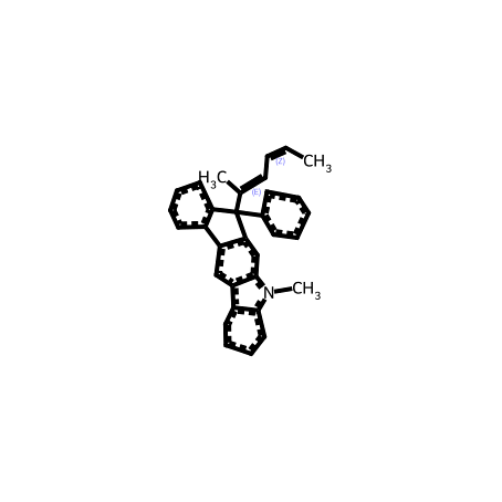 C/C=C\C=C(/C)C1(c2ccccc2)c2ccccc2-c2cc3c4ccccc4n(C)c3cc21